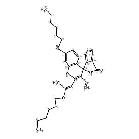 C=CC1=C(/C=C(\C)OCCCCCC)Oc2cc(OCCCCCC)ccc2C12OC(=O)c1ccccc12